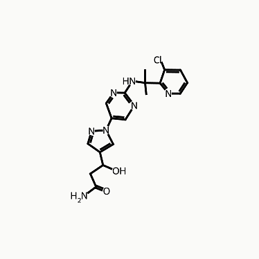 CC(C)(Nc1ncc(-n2cc(C(O)CC(N)=O)cn2)cn1)c1ncccc1Cl